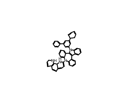 C1=CCC(c2cc(-c3ccccc3)cc(-n3c4c(c5ccccc53)-c3ccccc3N(C3=CC=C5C=CC6=C(NCC=C6)C5N3)c3ccccc3-4)c2)C=C1